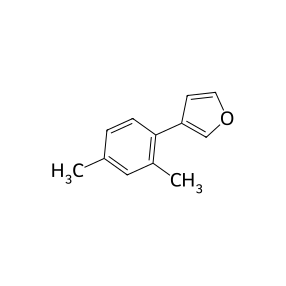 Cc1ccc(-c2ccoc2)c(C)c1